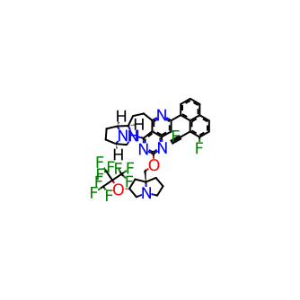 C#Cc1c(F)ccc2cccc(-c3nc4c5c(nc(OC[C@@]67CCCN6C[C@H](OC(C(F)(F)F)(C(F)(F)F)C(F)(F)F)C7)nc5c3F)N3C[C@H]5CC[C@H](N5)[C@H]3CC4)c12